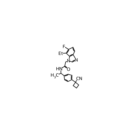 CCc1c(F)ccc2ncn(CC(=O)NC(C)c3ccc(C4(C#N)CCC4)cc3)c12